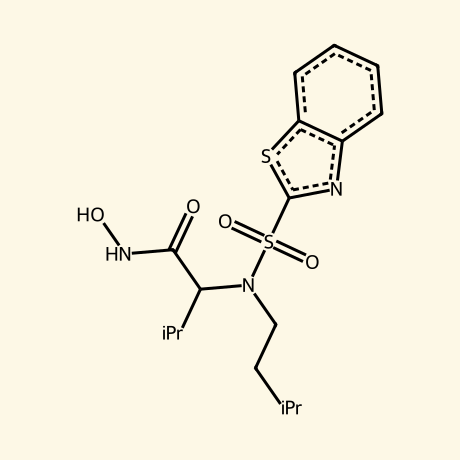 CC(C)CCN(C(C(=O)NO)C(C)C)S(=O)(=O)c1nc2ccccc2s1